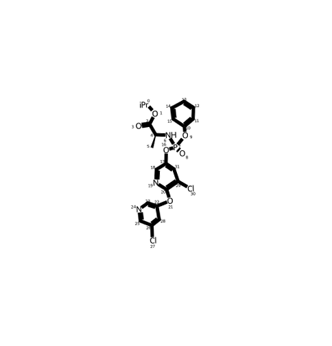 CC(C)OC(=O)[C@H](C)NP(=O)(Oc1ccccc1)Oc1cnc(Oc2cncc(Cl)c2)c(Cl)c1